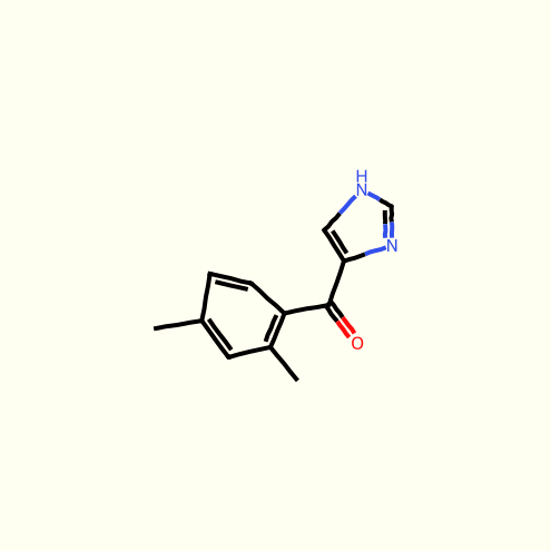 Cc1ccc(C(=O)c2c[nH]cn2)c(C)c1